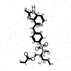 CCC(=O)OC[C@H]([C@@H](C)CC)N(C)S(=O)(=O)c1ccc(Cc2nccc3[nH]c(C)nc23)cc1